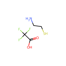 NCCS.O=C(O)C(F)(F)F